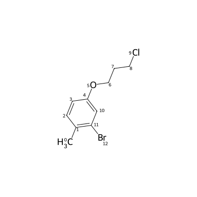 Cc1ccc(OCCCCl)cc1Br